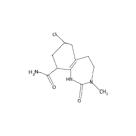 CN1CCC2=C(NC1=O)C(C(N)=O)CC(Cl)C2